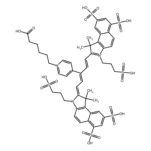 CC1(C)C(/C=C/C(=C/C=C2/N(CCCS(=O)(=O)O)c3ccc4c(S(=O)(=O)O)cc(S(=O)(=O)O)cc4c3C2(C)C)c2cc[n+](CCCCCC(=O)O)cc2)=[N+](CCCS(=O)(=O)O)c2ccc3c(S(=O)(=O)O)cc(S(=O)(=O)O)cc3c21